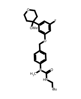 CCC(C)CNC(=O)N(C)c1ccc(COc2cc(F)cc(C3(OC)CCOCC3)c2)cc1